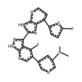 CN(C)c1cncc(-c2cnc3[nH]nc(-c4nc5c(-c6ccc(F)s6)ccnc5[nH]4)c3c2F)c1